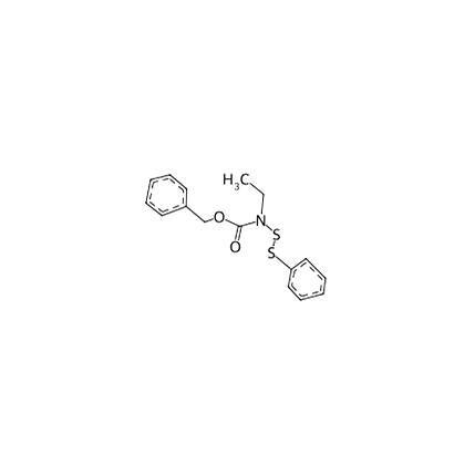 CCN(SSc1ccccc1)C(=O)OCc1ccccc1